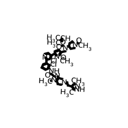 COc1nc(-c2ccnc(-c3cccc(NC(=O)c4nc5c(n4C)CCN(CCc4c(C)n[nH]c4C)C5)c3Cl)c2Cl)ccc1CN(C(=O)OC(C)(C)C)C1CCN(C(C)=O)CC1